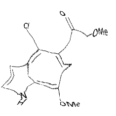 COC(=O)c1cc(OC)c2[nH]ccc2c1Cl